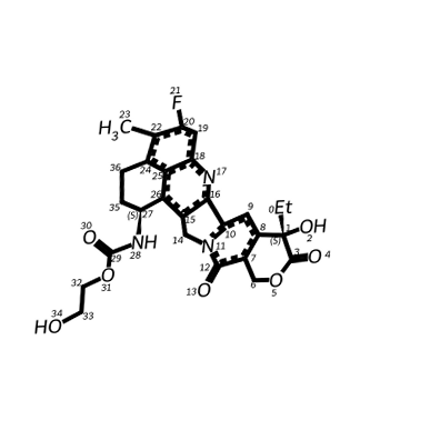 CC[C@@]1(O)C(=O)OCc2c1cc1n(c2=O)Cc2c-1nc1cc(F)c(C)c3c1c2[C@@H](NC(=O)OCCO)CC3